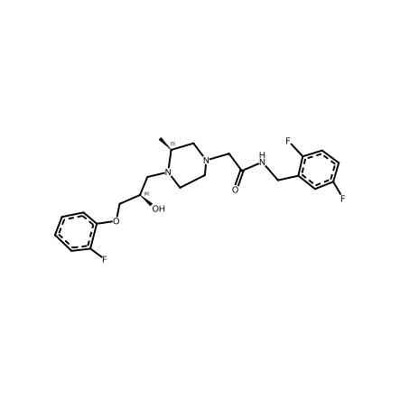 C[C@H]1CN(CC(=O)NCc2cc(F)ccc2F)CCN1C[C@@H](O)COc1ccccc1F